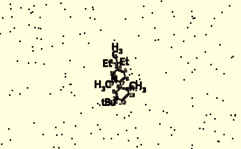 CCC(C)(CC)C1=CC=C(c2cc(C(C)(C)C)ccc2C)N(C)C1